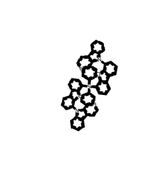 c1ccc([Si](c2ccccc2)(c2cccc3c2oc2c(-n4c5ccccc5c5ccncc54)cccc23)c2cccc3c2sc2c(-n4c5ccccc5c5ccncc54)cccc23)cc1